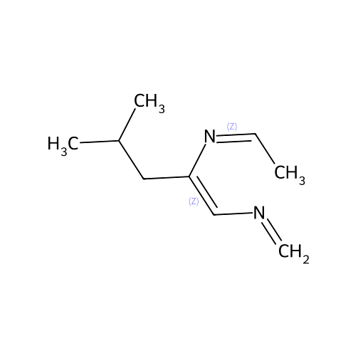 C=N/C=C(CC(C)C)\N=C/C